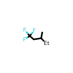 CCC(C)CC(F)(F)F